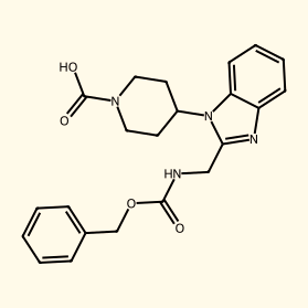 O=C(NCc1nc2ccccc2n1C1CCN(C(=O)O)CC1)OCc1ccccc1